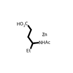 CCC(CCC(=O)O)NC(C)=O.[Zn]